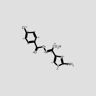 Nc1nc(/C(=N/OC(=O)c2ccc(Cl)cc2)C(=O)O)cs1